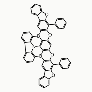 c1ccc(-c2c3c(cc4c2oc2ccccc24)B2c4c(cc5c6c4-n4c7c2cccc7c2cccc(c24)B6c2cc4c(oc6ccccc64)c(-c4ccccc4)c2O5)O3)cc1